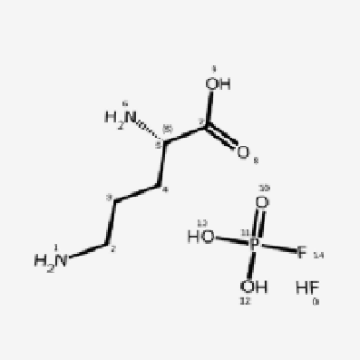 F.NCCC[C@H](N)C(=O)O.O=P(O)(O)F